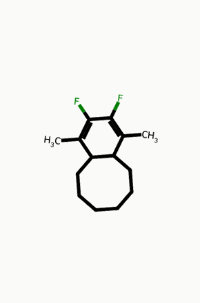 CC1=C(F)C(F)=C(C)C2CCCCCCC12